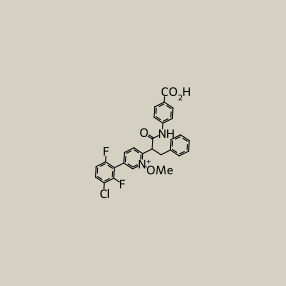 CO[n+]1cc(-c2c(F)ccc(Cl)c2F)ccc1C(Cc1ccccc1)C(=O)Nc1ccc(C(=O)O)cc1